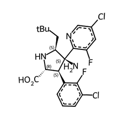 CC(C)(C)C[C@@H]1N[C@@H](C(=O)O)[C@H](c2cccc(Cl)c2F)[C@@]1(N)c1ncc(Cl)cc1F